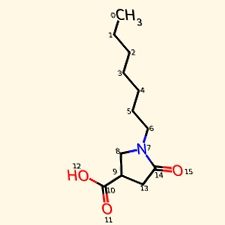 CCCCCCCN1CC(C(=O)O)CC1=O